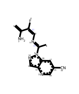 C=C(N)/C(F)=C\N=C(/C)n1ncc2ncc(C#N)cc21